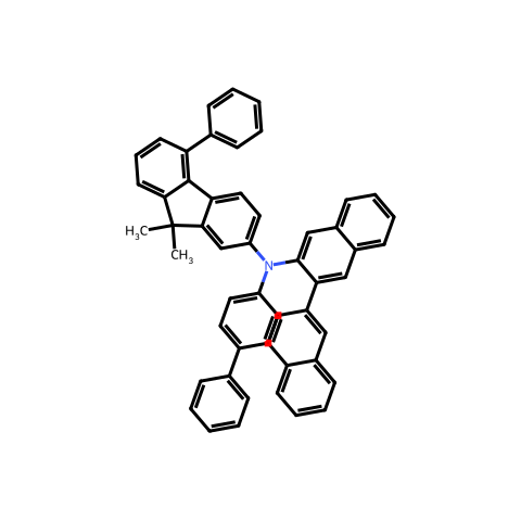 CC1(C)c2cc(N(c3ccc(-c4ccccc4)cc3)c3cc4ccccc4cc3-c3ccc4ccccc4c3)ccc2-c2c(-c3ccccc3)cccc21